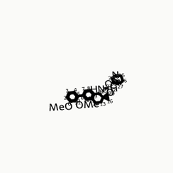 COc1cccc(-c2ccc3c(c2)CCC2(CC2)C3NC(=O)O[C@H]2CN3CCC2CC3)c1OC